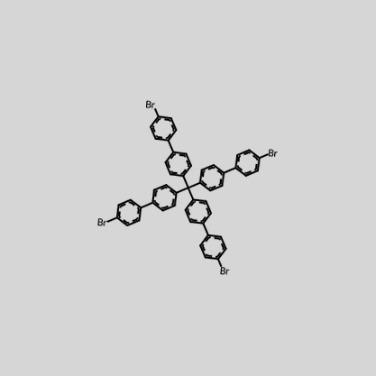 Brc1ccc(-c2ccc(C(c3ccc(-c4ccc(Br)cc4)cc3)(c3ccc(-c4ccc(Br)cc4)cc3)c3ccc(-c4ccc(Br)cc4)cc3)cc2)cc1